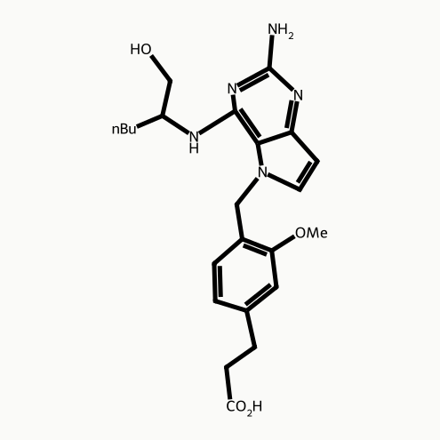 CCCCC(CO)Nc1nc(N)nc2ccn(Cc3ccc(CCC(=O)O)cc3OC)c12